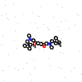 CC1(c2cccc(N(c3ccccc3)c3ccc4c(c3)oc3cc5cc6oc7cc(N(c8ccccc8)c8cccc(C9(C)c%10ccccc%10-c%10ccccc%109)c8)ccc7c6cc5cc34)c2)c2ccccc2-c2ccccc21